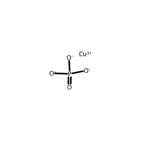 O=P([O-])([O-])[O-].[Cu+3]